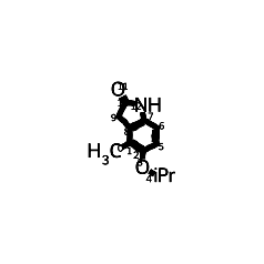 Cc1c(OC(C)C)ccc2c1CC(=O)N2